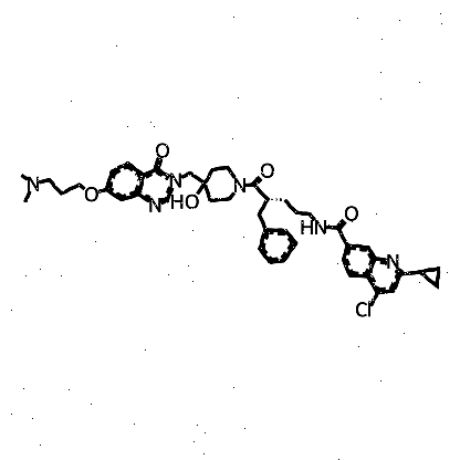 CN(C)CCCOc1ccc2c(=O)n(CC3(O)CCN(C(=O)[C@H](CCCNC(=O)c4ccc5c(Cl)cc(C6CC6)nc5c4)Cc4ccccc4)CC3)cnc2c1